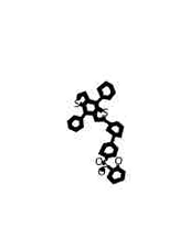 O=S1(=O)c2ccccc2Oc2cc(-c3cccc(-c4cc5c(-c6ccccc6)c6sccc6c(-c6ccccc6)c5s4)c3)ccc21